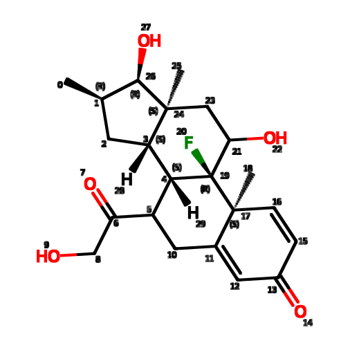 C[C@@H]1C[C@H]2[C@H]3C(C(=O)CO)CC4=CC(=O)C=C[C@]4(C)[C@@]3(F)C(O)C[C@]2(C)[C@@H]1O